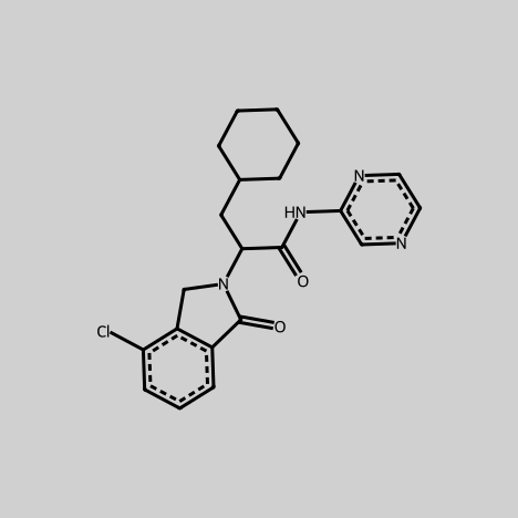 O=C(Nc1cnccn1)C(CC1CCCCC1)N1Cc2c(Cl)cccc2C1=O